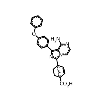 Nc1nccn2c(C34C=CC(C(=O)O)(CC3)CC4)nc(-c3ccc(Oc4ccccc4)cc3)c12